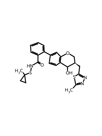 Cc1nnc(C[C@@H]2COc3cc(-c4ccccc4C(=O)NSC4(C)CC4)ccc3C2O)s1